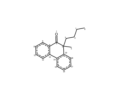 CCCCC1(C)C(=O)c2ccccc2-c2ccccc21